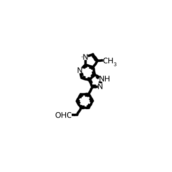 CC1=C[N]c2ncc3c(-c4ccc(CC=O)cc4)n[nH]c3c21